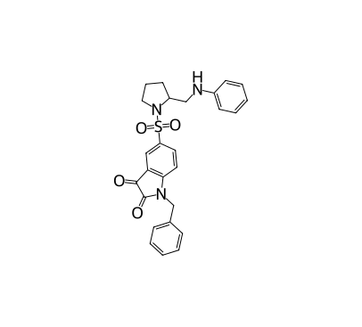 O=C1C(=O)N(Cc2ccccc2)c2ccc(S(=O)(=O)N3CCCC3CNc3ccccc3)cc21